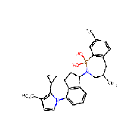 CC1Cc2ccc(C(F)(F)F)cc2S(O)(O)N(C2CCc3c2cccc3-n2ccc(C(=O)O)c2C2CC2)C1